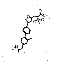 Cc1cc(CC(C)N=O)ccc1-c1ccc(C2=NOC(CC(C(N)=O)S(C)(=O)=O)C2)cc1